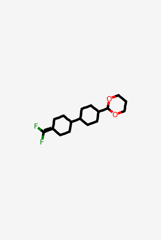 FC(F)=C1CCC(C2CCC(C3OCCCO3)CC2)CC1